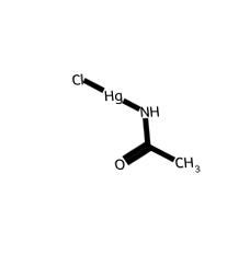 CC(=O)[NH][Hg][Cl]